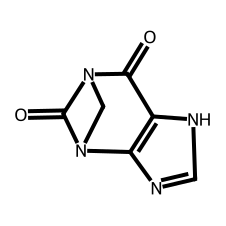 O=c1c2[nH]cnc2n2c(=O)n1C2